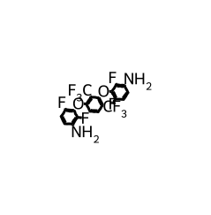 Nc1ccc(F)c(Oc2ccc(C(F)(F)F)c(Oc3c(F)ccc(N)c3F)c2C(F)(F)F)c1F